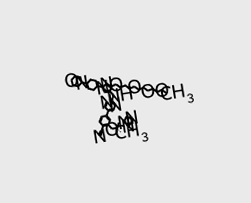 COCCOCCOCCCOc1nn(C2CCC(N3CCOCC3)CC2)cc1Nc1ncc(-c2ccc(C#N)c(O[C@@H](C)Cn3cncn3)c2)cn1